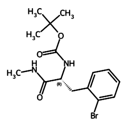 CNC(=O)[C@@H](Cc1ccccc1Br)NC(=O)OC(C)(C)C